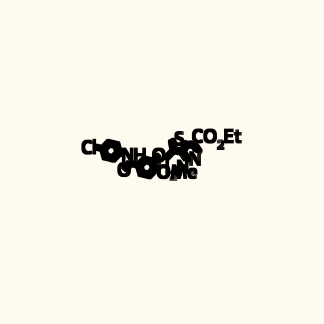 CCOC(=O)c1cnc(N)c2c(COc3cc(C(=O)Nc4ccc(Cl)cc4)ccc3OC)csc12